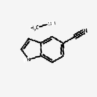 CO.N#Cc1ccc2[nH]ccc2c1